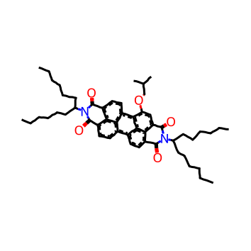 CCCCCCC(CCCCCC)N1C(=O)c2ccc3c4ccc5c6c(cc(OCC(C)C)c(c7ccc(c2c37)C1=O)c64)C(=O)N(C(CCCCCC)CCCCCC)C5=O